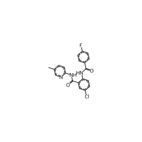 Cc1ccc(NC(=O)c2cc(Cl)ccc2NC(=O)c2ccc(F)cc2)nc1